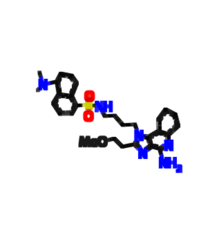 COCCc1nc2c(N)nc3ccccc3c2n1CCCCNS(=O)(=O)c1cccc2c(N(C)C)cccc12